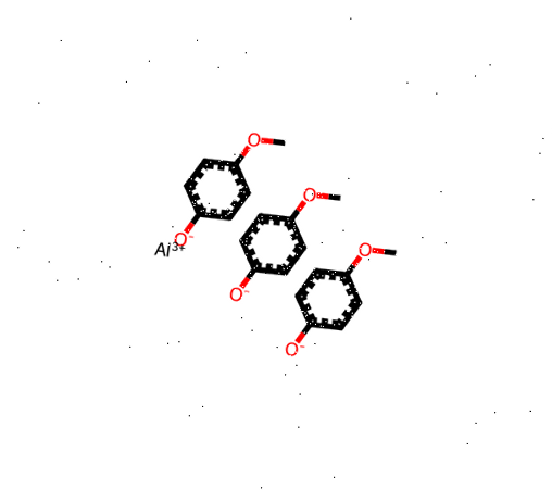 COc1ccc([O-])cc1.COc1ccc([O-])cc1.COc1ccc([O-])cc1.[Al+3]